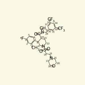 Cc1cc(F)ccc1C1CN(S(=O)(=O)CCN2CCOCC2)CCC1C(=O)N(C)Cc1cc(C(F)(F)F)cc(C(F)(F)F)c1